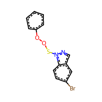 Brc1ccc2c(cnn2SOOc2ccccc2)c1